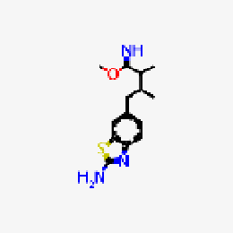 COC(=N)C(C)C(C)Cc1ccc2nc(N)sc2c1